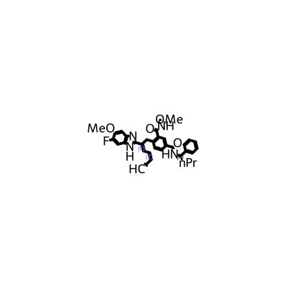 C#C/C=C\C=C(/Cc1ccc(C(=O)N[C@H](CCC)c2ccccc2)cc1C(=O)NOC)c1nc2cc(OC)c(F)cc2[nH]1